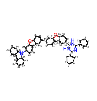 C1=CCCC(C2N=C(c3ccccc3)NC(c3ccc4oc5cc(-c6ccc7oc8cc(-n9c%10ccccc%10c%10ccccc%109)ccc8c7c6)ccc5c4c3)N2)=C1